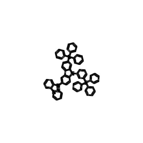 C1=CN2c3ccccc3N(c3ccc4c(c3)c3ccc(S(c5ccccc5)(c5ccccc5)c5ccccc5)cc3n4-c3cccc(S(c4ccccc4)(c4ccccc4)c4ccccc4)c3)N2C=C1